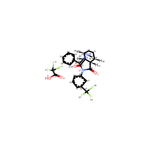 O=C(O)C(F)(F)F.O=C1[C@H]2[C@H]3CC[C@@H]([C@H]2C(=O)N1c1cccc(C(F)(F)F)c1)N(Cc1ccccc1)C3